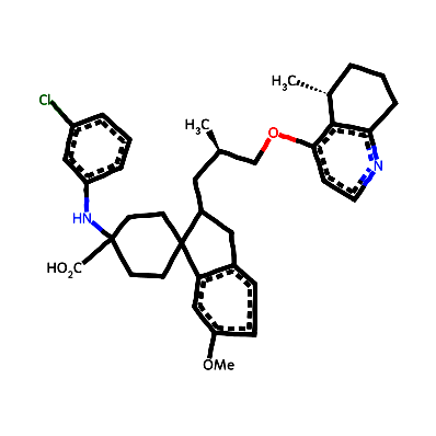 COc1ccc2c(c1)C1(CCC(Nc3cccc(Cl)c3)(C(=O)O)CC1)C(C[C@@H](C)COc1ccnc3c1[C@H](C)CCC3)C2